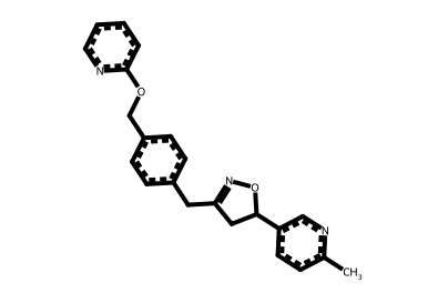 Cc1ccc(C2CC(Cc3ccc(COc4ccccn4)cc3)=NO2)cn1